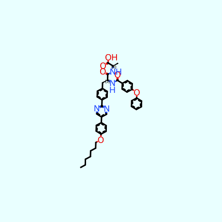 CCCCCCCOc1ccc(-c2cnc(-c3ccc(C[C@H](NC(=O)c4ccc(Oc5ccccc5)cc4)C(=O)N[C@H](C)C(=O)O)cc3)nc2)cc1